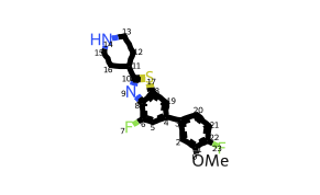 COc1cc(-c2cc(F)c3nc(C4CCNCC4)sc3c2)ccc1F